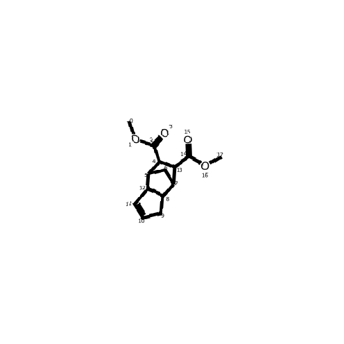 COC(=O)C1C2CC(C3CC=CC32)C1C(=O)OC